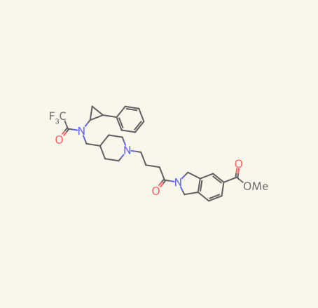 COC(=O)c1ccc2c(c1)CN(C(=O)CCCN1CCC(CN(C(=O)C(F)(F)F)C3CC3c3ccccc3)CC1)C2